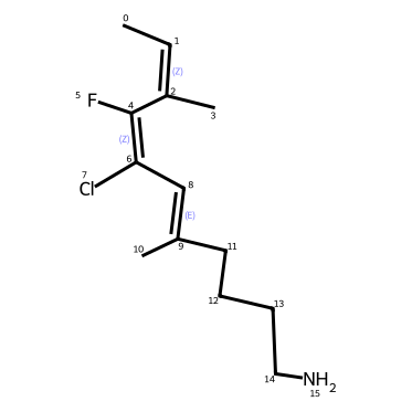 C\C=C(C)/C(F)=C(Cl)\C=C(/C)CCCCN